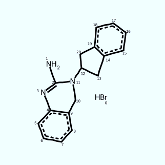 Br.NC1=Nc2ccccc2CN1C1Cc2ccccc2C1